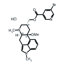 CO[C@]12C[C@@H](COC(=O)c3cncc(Br)c3)CN(C)[C@@H]1Cc1cn(C)c3cccc2c13.Cl